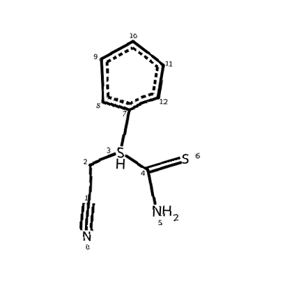 N#CC[SH](C(N)=S)c1ccccc1